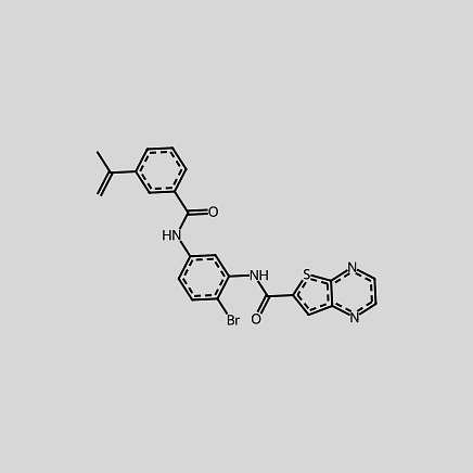 C=C(C)c1cccc(C(=O)Nc2ccc(Br)c(NC(=O)c3cc4nccnc4s3)c2)c1